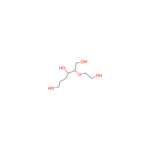 OCCCC(O)C(CO)OCCO